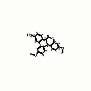 COc1ccc(C2c3ccc(OC)cc3OCC2c2ccc(O)cc2)cc1